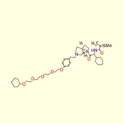 CN[C@@H](C)C(=O)NC(C(=O)N1CC[C@@H]2CCN(CCc3ccc(OCCOCCOCCOCCOC4CCCCC4)cc3)C[C@@H]21)C1CCCCC1